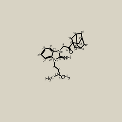 CN(C)CCn1c(=N)n(CC(=O)C23CC4CC(CC(C4)C2)C3)c2ccccc21